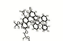 CO[C@@H](C)COc1nc(OC(C)(C)C)c2cc(C3CC3)c(-c3c(C)c(F)cc4nn(C(c5ccccc5)(c5ccccc5)c5ccccc5)cc34)c(O)c2n1